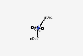 CCCCCCCCCCCCCCCCCCCn1cc(CC(C)c2ccccc2)[n+](CCCCCCCCCCCCCCCCCC)c1Cc1ccccc1